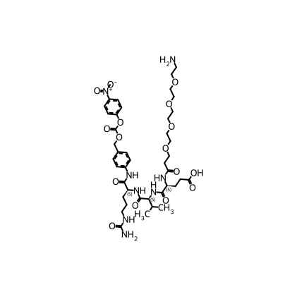 CC(C)[C@H](NC(=O)[C@H](CCC(=O)O)NC(=O)CCOCCOCCOCCOCCN)C(=O)N[C@@H](CCCNC(N)=O)C(=O)Nc1ccc(COC(=O)Oc2ccc([N+](=O)[O-])cc2)cc1